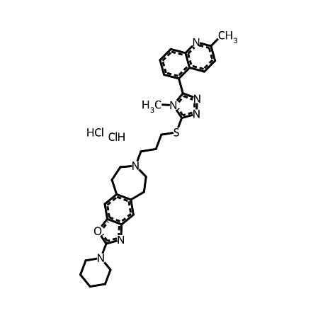 Cc1ccc2c(-c3nnc(SCCCN4CCc5cc6nc(N7CCCCC7)oc6cc5CC4)n3C)cccc2n1.Cl.Cl